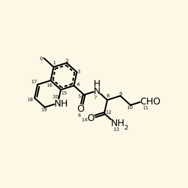 Cc1ccc(C(=O)NC(CCC=O)C(N)=O)c2c1C=CCN2